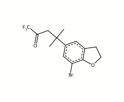 CC(C)(CC(=O)C(F)(F)F)c1cc(Br)c2c(c1)CCO2